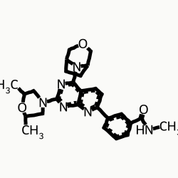 CNC(=O)c1cccc(-c2ccc3c(N4C5CCC4COC5)nc(N4CC(C)OC(C)C4)nc3n2)c1